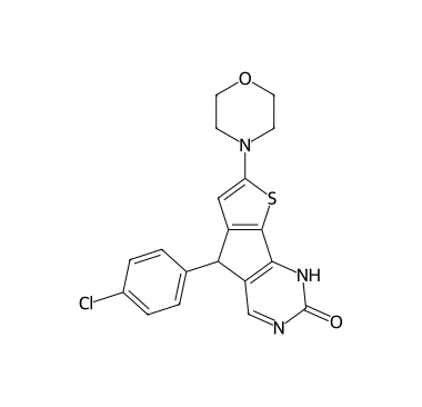 O=c1ncc2c([nH]1)-c1sc(N3CCOCC3)cc1C2c1ccc(Cl)cc1